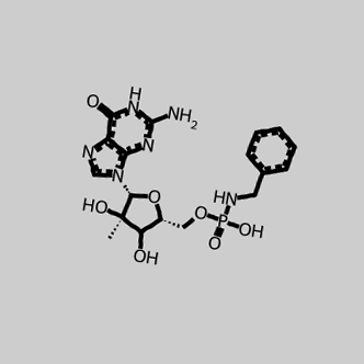 C[C@@]1(O)C(O)[C@@H](COP(=O)(O)NCc2ccccc2)O[C@H]1n1cnc2c(=O)[nH]c(N)nc21